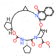 COC(=O)[C@@H]1C[C@@H]2CN1C(=O)[C@H](C1CCCC1)NC(=O)O[C@@H]1CCC[C@H]1CCCC1CC1Cn1c(cc3ccccc3c1=O)O2